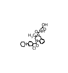 C[C@@H]1CN(C(=O)c2ccc(N3CCCCC3)cc2Cl)c2ccccc2CN1C(=O)NCC(=O)O